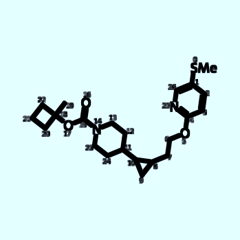 CSc1ccc(OCCC2CC2C2CCN(C(=O)OC3(C)CCC3)CC2)nc1